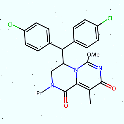 COc1nc(=O)c(C)c2n1C(C(c1ccc(Cl)cc1)c1ccc(Cl)cc1)CN(C(C)C)C2=O